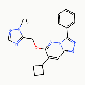 Cn1ncnc1COc1nn2c(-c3ccccc3)nnc2cc1C1CCC1